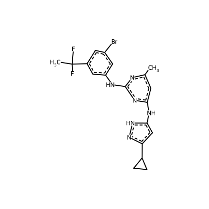 Cc1cc(Nc2cc(C3CC3)n[nH]2)nc(Nc2cc(Br)cc(C(C)(F)F)c2)n1